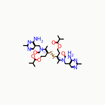 C/C(=C(/CCOC(=O)C(C)C)SS/C(CCOC(=O)C(C)C)=C(\C)N(C=O)Cc1cnc(C)nc1N)N(C=O)Cc1cnc(C)nc1N